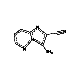 N#Cc1nc2cccnn2c1N